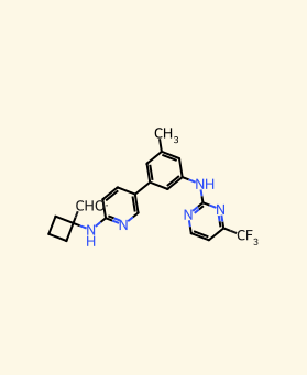 Cc1cc(Nc2nccc(C(F)(F)F)n2)cc(-c2ccc(NC3([C]=O)CCC3)nc2)c1